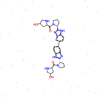 O=C([C@H]1C[C@@H](O)CN1)N1CCC[C@H]1c1nc2cc(-c3ccc4[nH]c([C@@H]5CCCN5C(=O)[C@H]5C[C@@H](O)CN5)nc4c3)ccc2[nH]1